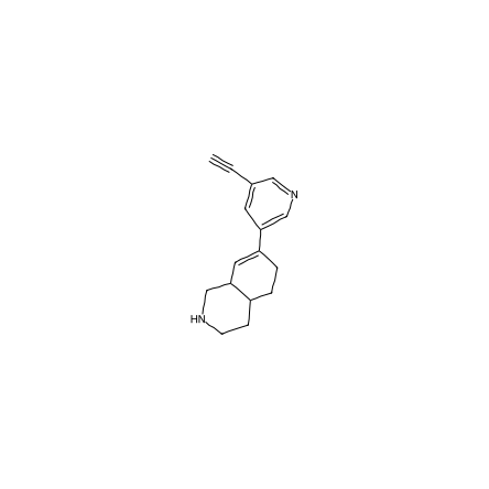 C#Cc1cncc(C2=CC3CNCCC3CC2)c1